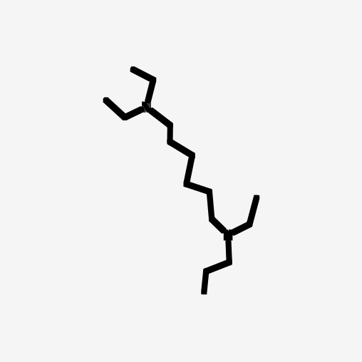 CCCN(CC)CCCCCCN(CC)CC